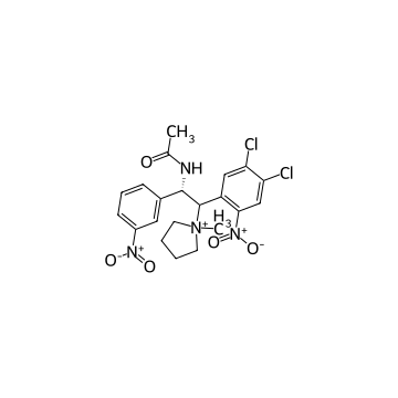 CC(=O)N[C@@H](c1cccc([N+](=O)[O-])c1)C(c1cc(Cl)c(Cl)cc1[N+](=O)[O-])[N+]1(C)CCCC1